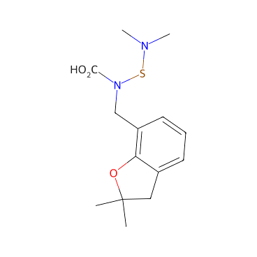 CN(C)SN(Cc1cccc2c1OC(C)(C)C2)C(=O)O